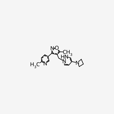 Cc1ccc(-c2noc(C)c2CN2C=CC(N3CCC3)=CN2)cn1